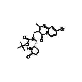 Cc1nc2cc(Br)ccn2c(=O)c1CN(C[C@@H]1CCC(=O)N1)C(=O)OC(C)(C)C